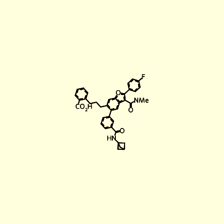 CNC(=O)c1c(-c2ccc(F)cc2)oc2cc(CCCc3ccccc3C(=O)O)c(-c3cccc(C(=O)NC45CC(C4)C5)c3)cc12